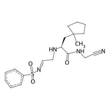 CC1(C[C@H](NCC=NS(=O)(=O)c2ccccc2)C(=O)NCC#N)CCCC1